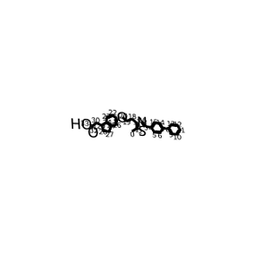 Cc1sc(-c2ccc(-c3ccccc3)cc2)nc1CCOc1ccc2c(c1)CCC2CC(=O)O